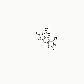 CCOC(=O)C1(C)C(=O)N(C)c2cc3nc(C)nc(Cl)c3cc21